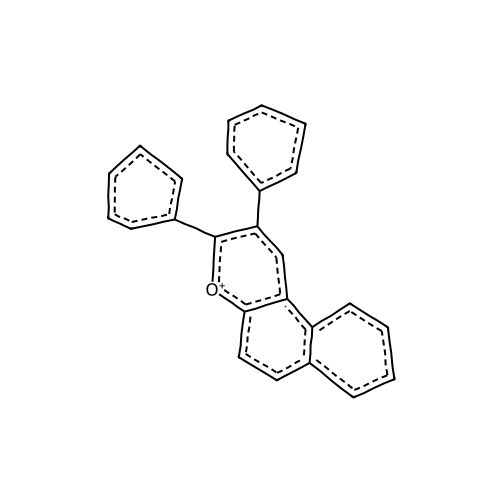 c1ccc(-c2cc3c(ccc4ccccc43)[o+]c2-c2ccccc2)cc1